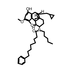 CCCCCN(C(=O)CCCCCCCc1ccccc1)[C@@H]1CC[C@H]2[C@H]3Cc4c(O)cc(OC)c5c4[C@@]2(CCN3CC2CC2)[C@H]1O5